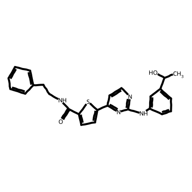 CC(O)c1cccc(Nc2nccc(-c3ccc(C(=O)NCCc4ccccc4)s3)n2)c1